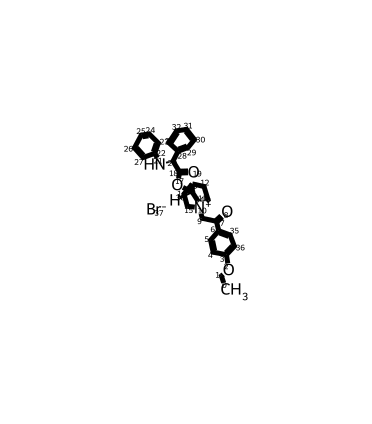 CCOc1ccc(C(=O)C[N+]23CCC(CC2)[C@@H](OC(=O)[C@H](Nc2ccccc2)c2ccccc2)C3)cc1.[Br-]